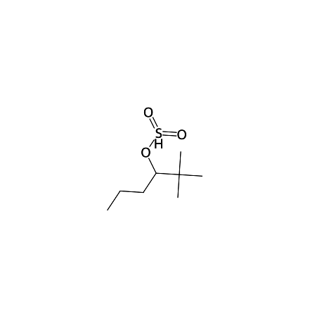 CCCC(O[SH](=O)=O)C(C)(C)C